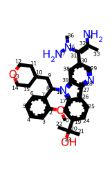 COc1ccccc1C(CC1CCOCC1)n1c2cc(C(C)(C)O)ccc2c2ncc(/C(=C(\C)N)N(C)N)cc21